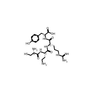 N=C(N)NCCC[C@H](NC(=O)[C@H](CCN)NC(=O)[C@@H](N)CS)C(=O)N[C@@H](Cc1ccc(O)cc1)C(=O)O